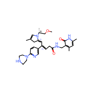 COC[C@@H](C)N1C=C(C)C/C1=C\C(=C/CC(=O)NCc1c(C)cc(C)[nH]c1=O)c1ccc(N2CCNCC2)nc1